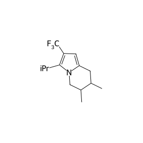 CC(C)c1c(C(F)(F)F)cc2n1CC(C)C(C)C2